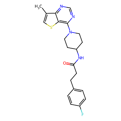 Cc1csc2c(N3CCC(NC(=O)CCc4ccc(F)cc4)CC3)ncnc12